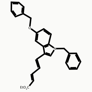 CCOC(=O)C=CC=Cc1cn(Cc2ccccc2)c2ccc(OCc3ccccc3)cc12